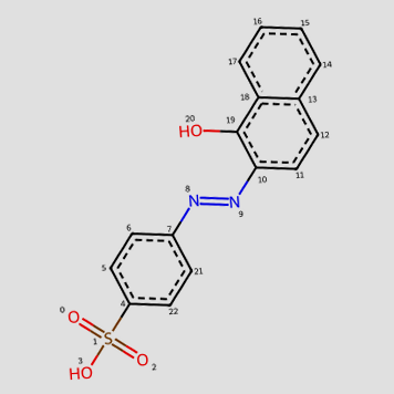 O=S(=O)(O)c1ccc(N=Nc2ccc3ccccc3c2O)cc1